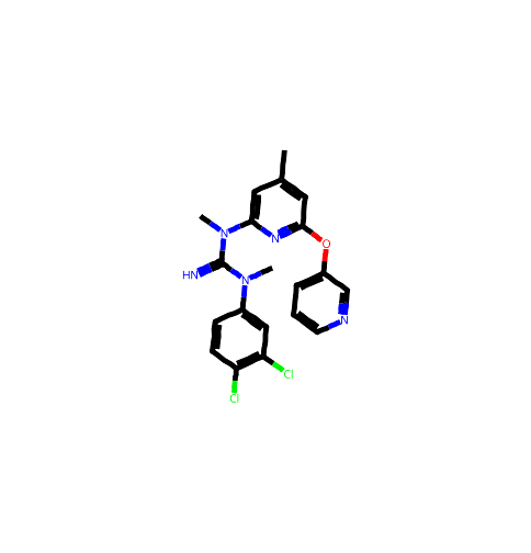 Cc1cc(Oc2cccnc2)nc(N(C)C(=N)N(C)c2ccc(Cl)c(Cl)c2)c1